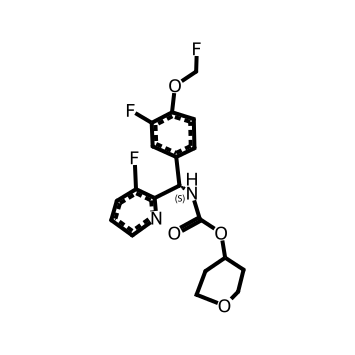 O=C(N[C@@H](c1ccc(OCF)c(F)c1)c1ncccc1F)OC1CCOCC1